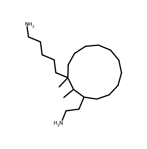 CC1C(CCN)CCCCCCCCCCC1(C)CCCCCN